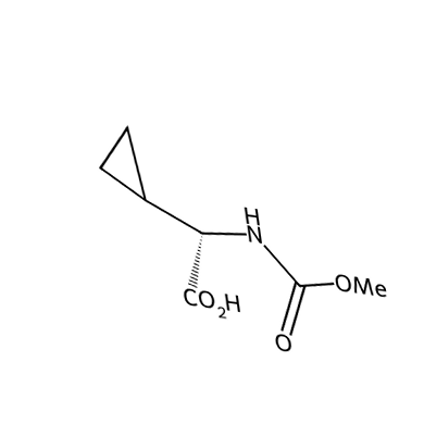 COC(=O)N[C@H](C(=O)O)C1CC1